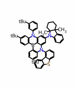 CC(C)(C)c1cccc(N2c3cc(C(C)(C)C)ccc3B3c4ccc(C(C)(C)C)cc4N(c4cccc5sc6ccccc6c45)c4cc(N5c6ccccc6C6(C)CCCCC56C)cc2c43)c1